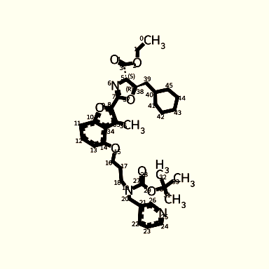 CCOC(=O)[C@H]1N=C(c2oc3cccc(OCCCN(Cc4cccnc4)C(=O)OC(C)(C)C)c3c2C)O[C@@H]1CC1CCCCC1